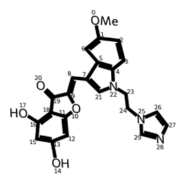 COc1ccc2c(c1)c(/C=C1\Oc3cc(O)cc(O)c3C1=O)cn2CCn1ccnc1